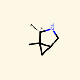 C[C@@H]1NCC2CC21C